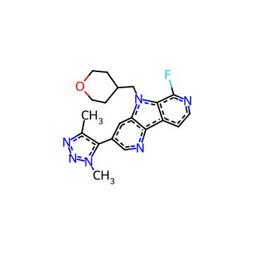 Cc1nnn(C)c1-c1cnc2c3ccnc(F)c3n(CC3CCOCC3)c2c1